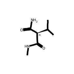 CNC(=O)[C@H]([C](C)C)C(N)=O